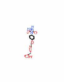 O=c1[nH][nH]c(=O)n1-c1ccc(OCCOCCO)cc1